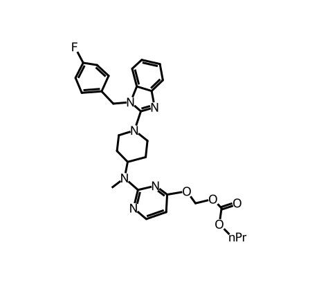 CCCOC(=O)OCOc1ccnc(N(C)C2CCN(c3nc4ccccc4n3Cc3ccc(F)cc3)CC2)n1